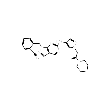 N#Cc1ccccc1Cn1ncc2cnc(Nc3cnn(CC(=O)N4CCOCC4)c3)nc21